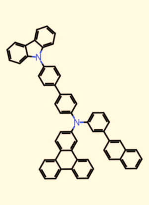 c1cc(-c2ccc3ccccc3c2)cc(N(c2ccc(-c3ccc(-n4c5ccccc5c5ccccc54)cc3)cc2)c2ccc3c4ccccc4c4ccccc4c3c2)c1